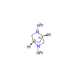 CCCN1C[C@@H]2C[C@H]1CN2CCC